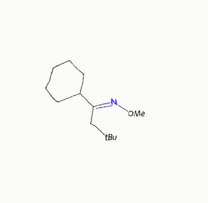 CON=C(CC(C)(C)C)C1CCCCC1